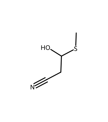 CSC(O)CC#N